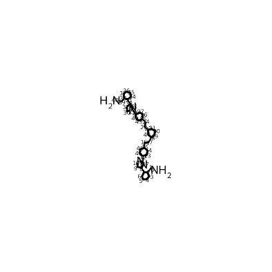 NCc1ccccc1-c1ccn(-c2ccc(C=Cc3cccc(C=Cc4ccc(-n5ccc(-c6ccccc6CN)n5)cc4)c3)cc2)n1